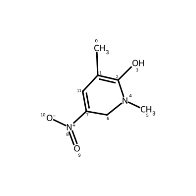 CC1=C(O)N(C)CC([N+](=O)[O-])=C1